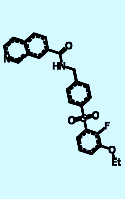 CCOc1cccc(S(=O)(=O)c2ccc(CNC(=O)c3ccc4ccncc4c3)cc2)c1F